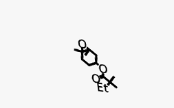 CCC(C)(C)C(=O)OC1CCC2(C)OC2(C)C1